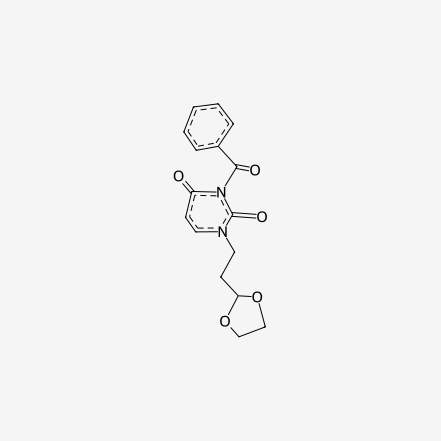 O=C(c1ccccc1)n1c(=O)ccn(CCC2OCCO2)c1=O